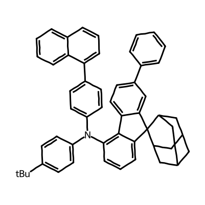 CC(C)(C)c1ccc(N(c2ccc(-c3cccc4ccccc34)cc2)c2cccc3c2-c2ccc(-c4ccccc4)cc2C32C3CC4CC(C3)CC2C4)cc1